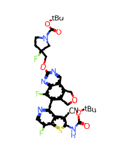 CC(C)(C)OC(=O)Nc1sc2c(F)cnc(-c3c4c(c5cnc(OCC6(F)CCN(C(=O)OC(C)(C)C)C6)nc5c3F)COC4)c2c1C#N